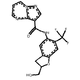 O=C(Nc1cc2c(cc1C(F)(F)F)OC(CO)C2)c1cnn2cccnc12